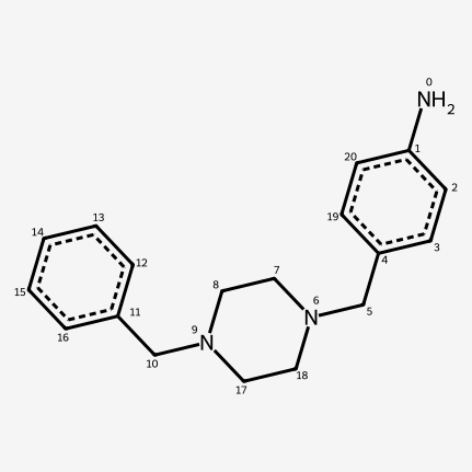 Nc1ccc(CN2CCN(Cc3ccccc3)CC2)cc1